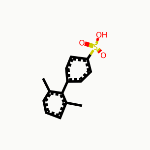 Cc1cccc(C)c1-c1ccc(S(=O)(=O)O)cc1